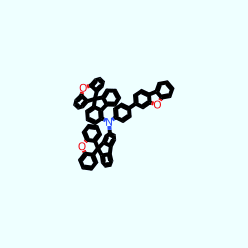 c1ccc2c(c1)Oc1ccccc1C21c2ccccc2-c2ccc(N(c3ccc(-c4ccc5c(c4)oc4ccccc45)cc3)c3cccc4c3-c3ccccc3C43c4ccccc4Oc4ccccc43)cc21